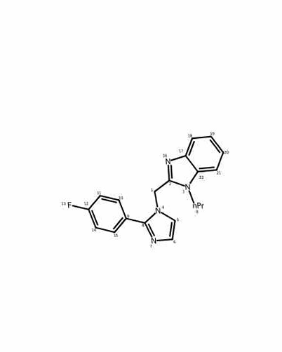 CCCn1c(Cn2ccnc2-c2ccc(F)cc2)nc2ccccc21